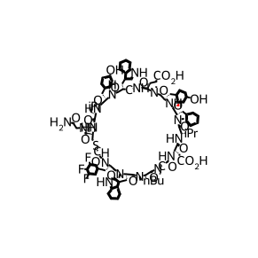 CCCC[C@H]1C(=O)N(C)CC(=O)N[C@@H](CC(=O)O)C(=O)N[C@@H](C(C)C)C(=O)N(C)[C@@H](Cc2ccccc2)C(=O)N[C@@H](Cc2ccc(O)cc2)C(=O)N(C)[C@H](CCC(=O)O)C(=O)NC[C@@H](Cc2c[nH]c3ccccc23)C(=O)N[C@@H](Cc2ccc(O)cc2)C(=O)N[C@@H](CC(C)C)C(=O)N[C@H](C(=O)NCC(N)=O)CSCC(=O)N[C@@H](Cc2cc(F)c(F)c(F)c2)C(=O)N(C)[C@@H](Cc2c[nH]c3ccccc23)C(=O)N1C